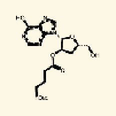 CCCCCCCCCCCCCC(=O)OC1C[C@@H](CO)O[C@H]1n1cnc2c(O)ncnc21